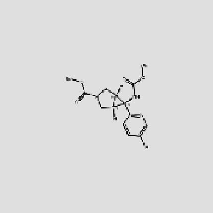 CC(C)(C)OC(=O)N[C@@]1(c2ccc(Br)cn2)[C@@H]2CN(C(=O)OC(C)(C)C)C[C@@H]21